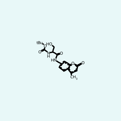 Cc1cc(=O)oc2cc(NC(=O)C(CO)NC(=O)OC(C)(C)C)ccc12